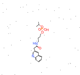 CC(C)OP(=O)(O)OCCCCNC(=O)Cc1cnc2ccccc2c1